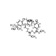 C=C1COc2ccc(C(C)(C)O)cc2C(=C/CCN(CC)CCN(CC)c2ccc(Cl)cc2)/C1=C/C=C\N